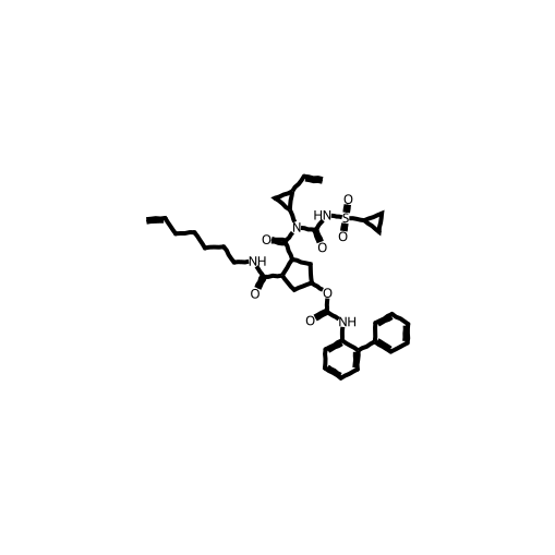 C=CCCCCCNC(=O)C1CC(OC(=O)Nc2ccccc2-c2ccccc2)CC1C(=O)N(C(=O)NS(=O)(=O)C1CC1)C1CC1C=C